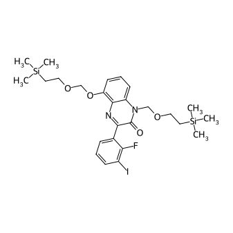 C[Si](C)(C)CCOCOc1cccc2c1nc(-c1cccc(I)c1F)c(=O)n2COCC[Si](C)(C)C